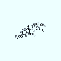 CCCCC1(N(C)C)CCC(c2[nH]c3ccc(OC(F)(F)F)cc3c2C)CC1